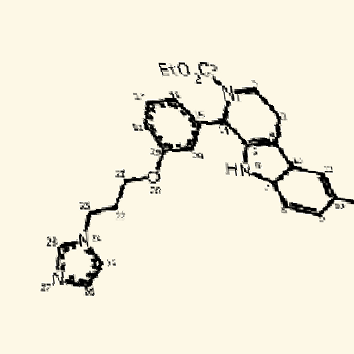 CCOC(=O)N1CCC2=C(NC3C=CC(Cl)=CC23)C1c1cccc(OCCCn2ccnc2)c1